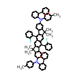 Cc1ccc(N(c2ccc3c(c2)C(C)(C)c2cc4c(-c5ccccc5F)c5c(cc4c(-c4ccccc4F)c2-3)C(C)(C)c2cc(N(c3ccc(C)cc3)c3ccccc3-c3ccccc3)ccc2-5)c2ccccc2-c2ccccc2)cc1